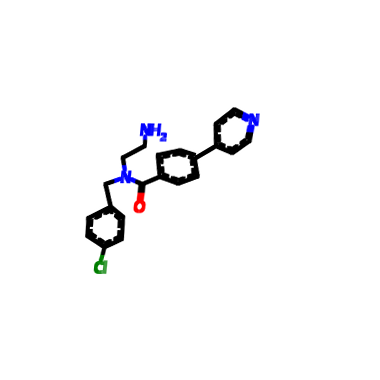 NCCN(Cc1ccc(Cl)cc1)C(=O)c1ccc(-c2ccncc2)cc1